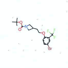 CC(C)(C)OC(=O)N1CC(CCOc2ccc(Br)cc2C(F)(F)F)C1